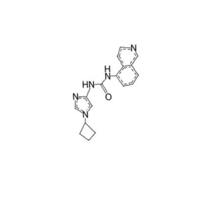 O=C(Nc1cn(C2CCC2)cn1)Nc1cccc2cnccc12